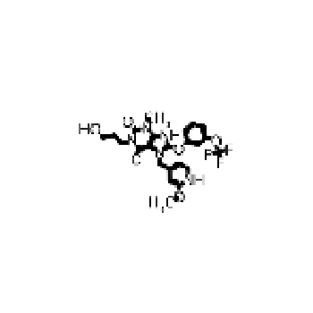 COC1=CC(CN2c3c(n(C)c(=O)n(CCCO)c3=O)NC2Oc2cccc(OC(F)(F)F)c2)=CCN1